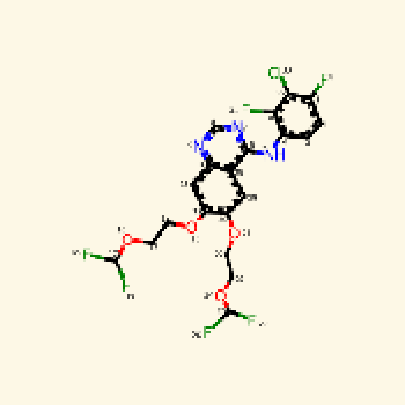 Fc1ccc(Nc2ncnc3cc(OCCOC(F)F)c(OCCOC(F)F)cc23)c(F)c1Cl